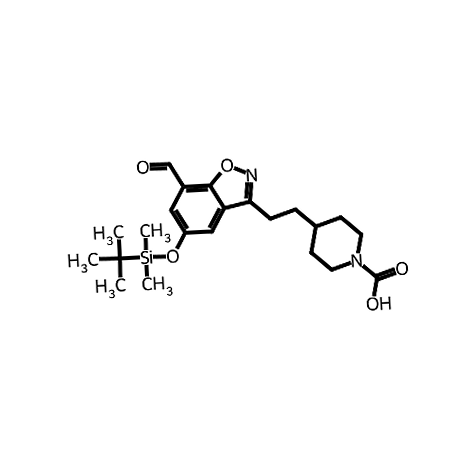 CC(C)(C)[Si](C)(C)Oc1cc(C=O)c2onc(CCC3CCN(C(=O)O)CC3)c2c1